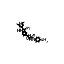 Cc1cc(-c2[nH]c3ccc(-c4nc(C(=O)N[C@H]5CC[C@H](N)CC5)co4)cc3c2C(C)C)cc(C)n1